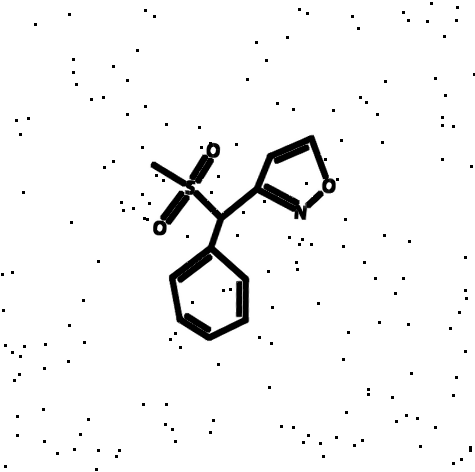 CS(=O)(=O)C(c1ccccc1)c1ccon1